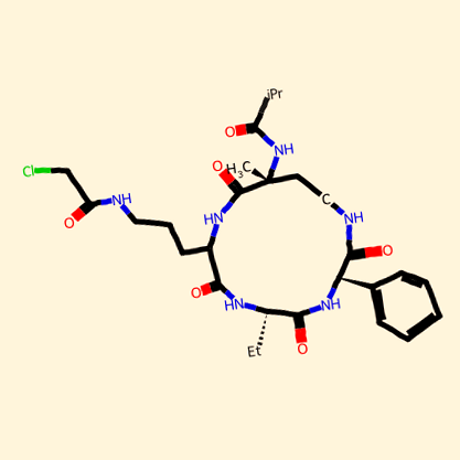 CC[C@@H]1NC(=O)C(CCCNC(=O)CCl)NC(=O)[C@](C)(NC(=O)C(C)C)CCNC(=O)[C@@H](c2ccccc2)NC1=O